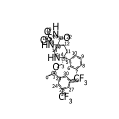 C[C@@H](OC[C@@]1(c2ccccc2)CC[C@@]2(CN1)NS(=O)(=O)NC2=O)c1cc(C(F)(F)F)cc(C(F)(F)F)c1